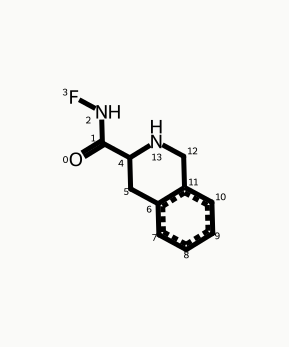 O=C(NF)C1Cc2ccccc2CN1